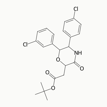 CC(C)(C)OC(=O)CC1OC(c2cccc(Cl)c2)C(c2ccc(Cl)cc2)NC1=O